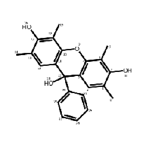 Cc1cc2c(c(C)c1O)Oc1c(cc(C)c(O)c1C)C2(O)c1ccccc1